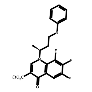 CCOC(=O)c1cn([C@@H](C)CCSc2ccccc2)c2c(F)c(F)c(F)cc2c1=O